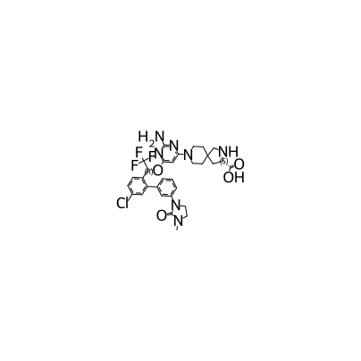 CN1CCN(c2cccc(-c3cc(Cl)ccc3[C@@H](Oc3cc(N4CCC5(CC4)CN[C@H](C(=O)O)C5)nc(N)n3)C(F)(F)F)c2)C1=O